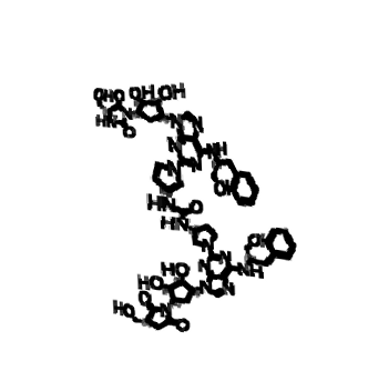 O=C(N[C@@H]1CCN(c2nc(N[C@H](CO)Cc3ccccc3)c3ncn([C@@H]4C[C@H](N5C(=O)C[C@H](CO)C5=O)[C@@H](O)[C@H]4O)c3n2)C1)N[C@@H]1CCN(c2nc(N[C@H](CO)Cc3ccccc3)c3ncn([C@@H]4C[C@H](N5C(=O)N[C@H](CO)C5=O)[C@@H](O)[C@H]4O)c3n2)C1